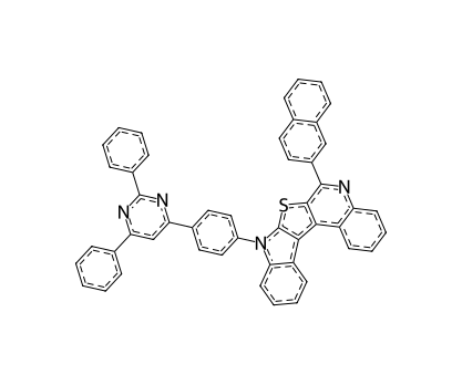 c1ccc(-c2cc(-c3ccc(-n4c5ccccc5c5c6c(sc54)c(-c4ccc5ccccc5c4)nc4ccccc46)cc3)nc(-c3ccccc3)n2)cc1